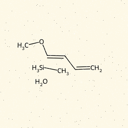 C=CC=COC.C[SiH3].O